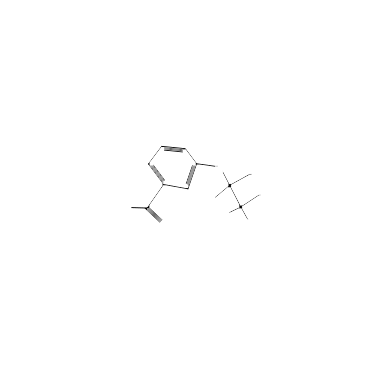 [CH2]C(=O)c1cccc(OC(F)(F)C(F)(F)F)c1